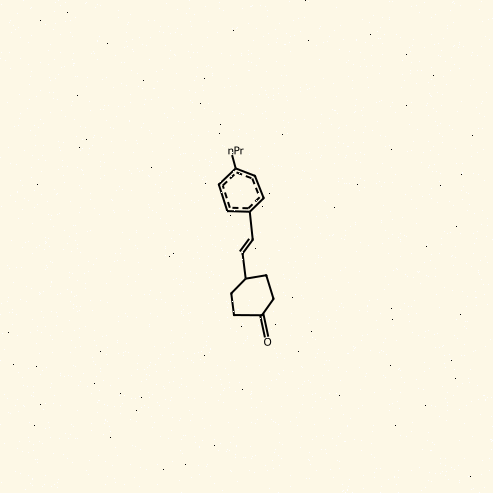 CCCc1ccc(/C=C/C2CCC(=O)CC2)cc1